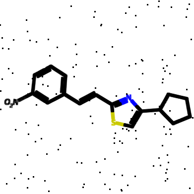 O=[N+]([O-])c1cccc(/C=C/c2nc(C3CCCC3)cs2)c1